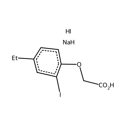 CCc1ccc(OCC(=O)O)c(I)c1.I.[NaH]